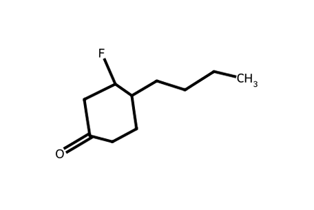 CCCCC1CCC(=O)CC1F